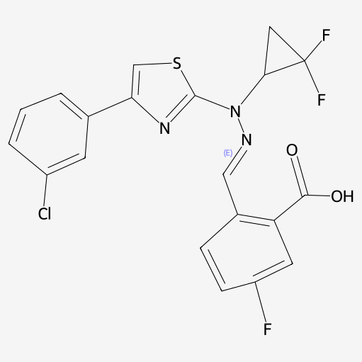 O=C(O)c1cc(F)ccc1/C=N/N(c1nc(-c2cccc(Cl)c2)cs1)C1CC1(F)F